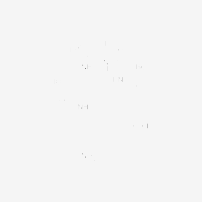 CCC[C@H](NC(=O)[C@@H](NC(=O)CCCC(=O)O)[C@@H](C)CC)C(=O)N[C@@H](CC(C)C)[C@@H](O)CC(=O)NCc1cccc([N+](=O)[O-])c1